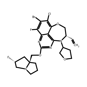 C=C[C@H]1COc2c(Cl)c(Br)c(F)c3nc(OC[C@@]45CCCN4C[C@H](F)C5)nc(c23)N1C1CCOC1